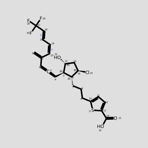 C=C(C=C=C[C@@H]1[C@@H](CCCc2ccc(C(=O)O)s2)[C@H](Cl)C[C@H]1O)/C=C\C=C\C(F)(F)F